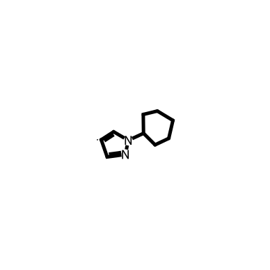 [c]1cnn(C2CCCCC2)c1